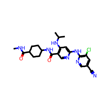 CNC(=O)C1CCC(NC(=O)c2cnc(Nc3ncc(C#N)cc3Cl)cc2NC(C)C)CC1